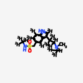 [2H]c1[nH]c2c([2H])c([2H])c(CS(=O)(=O)NC([2H])([2H])[2H])c([2H])c2c1C([2H])([2H])C([2H])([2H])N(C)C([2H])([2H])[2H]